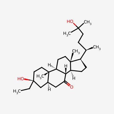 CC[C@]1(O)CC[C@@]2(C)[C@@H](CC(=O)[C@@H]3[C@@H]2CC[C@]2(C)[C@@H]([C@H](C)CCC(C)(C)O)CC[C@@H]32)C1